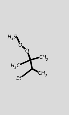 CCC(C)C(C)(C)OO[SiH3]